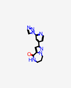 O=C1NCCCn2nc(-c3ccnc(-n4ccnn4)c3)cc21